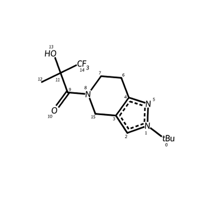 CC(C)(C)n1cc2c(n1)CCN(C(=O)C(C)(O)C(F)(F)F)C2